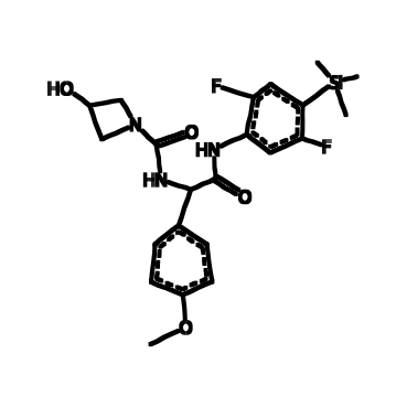 COc1ccc(C(NC(=O)N2CC(O)C2)C(=O)Nc2cc(F)c([Si](C)(C)C)cc2F)cc1